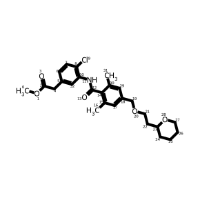 COC(=O)Cc1ccc(Cl)c(NC(=O)c2c(C)cc(COCCC3CCCCO3)cc2C)c1